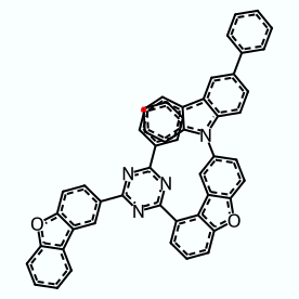 c1ccc(-c2ccc3c(c2)c2ccccc2n3-c2ccc3oc4cccc(-c5nc(-c6ccccc6)nc(-c6ccc7oc8ccccc8c7c6)n5)c4c3c2)cc1